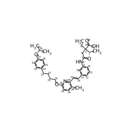 CCC(CC)(CC(=O)Nc1cccc(C=Cc2nc(OCCCCc3ccc(OC(C)C)cc3)ccc2C)c1)C(=O)O